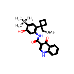 COCC1(c2cc([Si](C)(C)C)c(O)cc2NC(=O)c2c[nH]c3ccccc3c2=O)CCC1